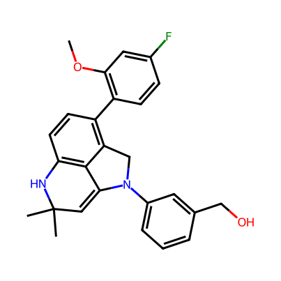 COc1cc(F)ccc1-c1ccc2c3c1CN(c1cccc(CO)c1)C3=CC(C)(C)N2